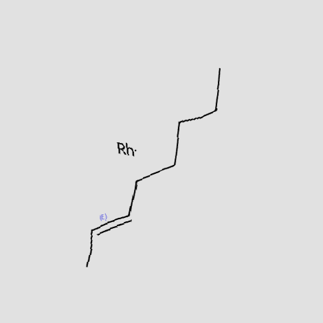 C/C=C/CCCCC.[Rh]